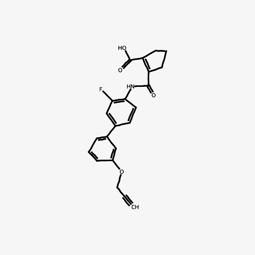 C#CCOc1cccc(-c2ccc(NC(=O)C3=C(C(=O)O)CCC3)c(F)c2)c1